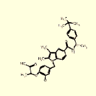 Cc1c(C)n(Cc2ccc(OC(C)C(=O)O)c(Cl)c2)c2ccc(C(=O)N[C@@H](C)c3ccc(C(C)(C)C)cc3)cc12